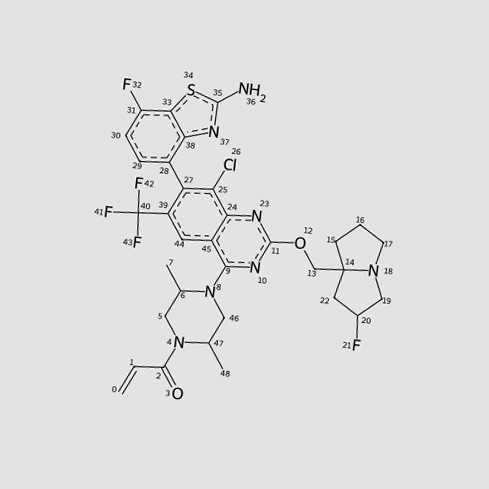 C=CC(=O)N1CC(C)N(c2nc(OCC34CCCN3CC(F)C4)nc3c(Cl)c(-c4ccc(F)c5sc(N)nc45)c(C(F)(F)F)cc23)CC1C